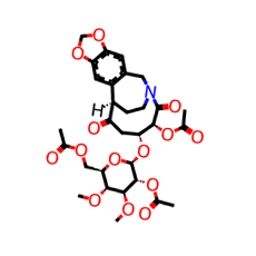 CO[C@H]1[C@@H](OC)[C@@H](COC(C)=O)O[C@@H](O[C@@H]2CC(=O)[C@@H]3CCN(Cc4cc5c(cc43)OCO5)C(=O)[C@H]2OC(C)=O)[C@@H]1OC(C)=O